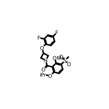 COc1c(S(C)(=O)=O)ccc(OC(C)C)c1C(=O)N1CC(Oc2ccc(F)cc2F)C1